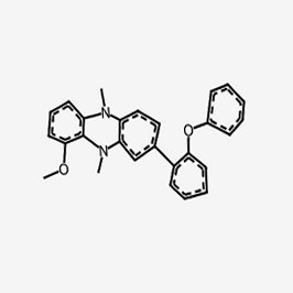 COc1cccc2c1N(C)c1cc(-c3ccccc3Oc3ccccc3)ccc1N2C